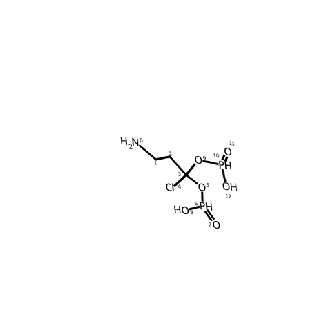 NCCC(Cl)(O[PH](=O)O)O[PH](=O)O